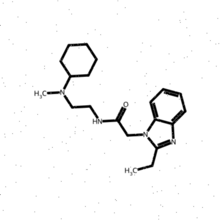 CCc1nc2ccccc2n1CC(=O)NCCN(C)C1CCCCC1